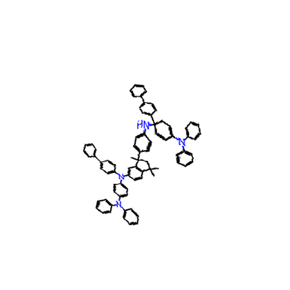 CC1(C)CC(C)(c2ccc(NC3(c4ccc(-c5ccccc5)cc4)C=CC(N(c4ccccc4)c4ccccc4)=CC3)cc2)c2cc(N(c3ccc(-c4ccccc4)cc3)c3ccc(N(c4ccccc4)c4ccccc4)cc3)ccc21